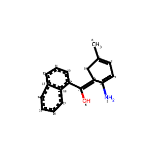 CC1=CC=C(N)C(=C(O)c2cccc3ccccc23)C1